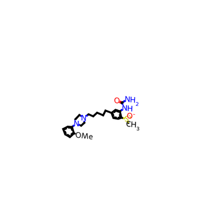 COc1ccccc1N1CCN(CCCCCc2ccc([S+](C)[O-])c(NC(N)=O)c2)CC1